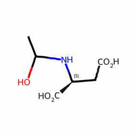 CC(O)N[C@@H](CC(=O)O)C(=O)O